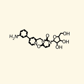 Nc1cccc(-c2ccnc(Cn3c(=O)ccn(C4OC(CO)C(O)C4O)c3=O)c2)c1